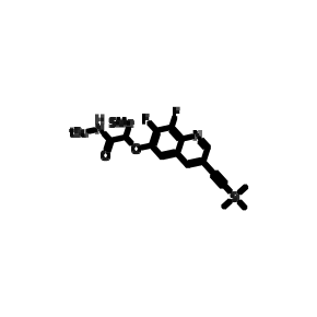 CSC(Oc1cc2cc(C#C[Si](C)(C)C)cnc2c(F)c1F)C(=O)NC(C)(C)C